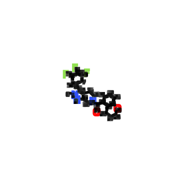 Cn1nc2c(c1-c1cc(F)c(F)c(F)c1)CCN(C(=O)c1cccc3c1CCCO3)C2